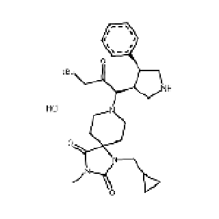 CN1C(=O)N(CC2CC2)C2(CCN(C(C(=O)CC(C)(C)C)[C@@H]3CNC[C@@H]3c3ccccc3)CC2)C1=O.Cl